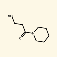 CC(C)(C)CCC(=O)N1CCCCC1